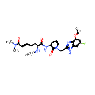 CN(C)C(=O)/C=C/CC[C@H](NC(=O)O)C(=O)Nc1cccn(Cc2nc3c(OCC(F)(F)F)cc(F)cc3[nH]2)c1=O